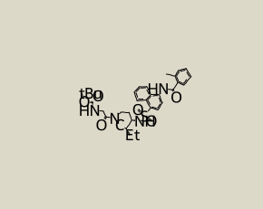 CC[C@H]1CN(C(=O)CNC(=O)OC(C)(C)C)CC[C@H]1NS(=O)(=O)c1ccc(NC(=O)c2ccccc2C)c2ccccc12